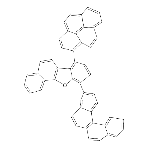 c1ccc2c(c1)ccc1c2oc2c(-c3ccc4c(ccc5ccc6ccccc6c54)c3)ccc(-c3ccc4ccc5cccc6ccc3c4c56)c21